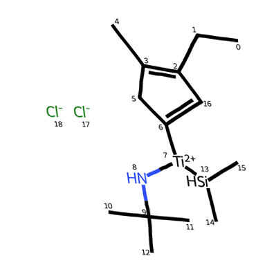 CCC1=C(C)C[C]([Ti+2]([NH]C(C)(C)C)[SiH](C)C)=C1.[Cl-].[Cl-]